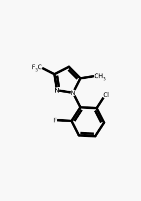 Cc1cc(C(F)(F)F)nn1-c1c(F)cccc1Cl